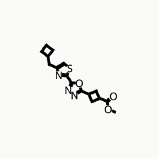 COC(=O)C1CC(c2nnc(-c3nc(CC4CCC4)cs3)o2)C1